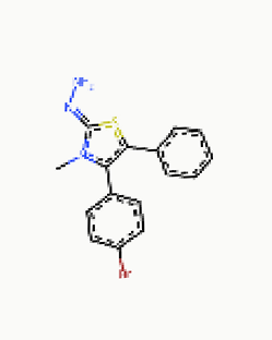 Cn1c(-c2ccc(Br)cc2)c(-c2ccccc2)sc1=NN